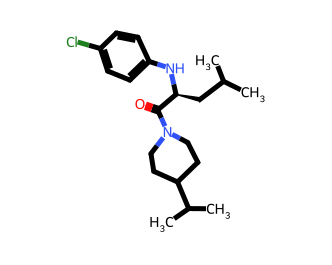 CC(C)C[C@H](Nc1ccc(Cl)cc1)C(=O)N1CCC(C(C)C)CC1